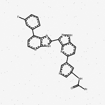 CC(C)C(=O)Nc1cncc(-c2ccc3[nH]nc(-c4nc5c(-c6cccc(F)c6)ccnc5[nH]4)c3n2)c1